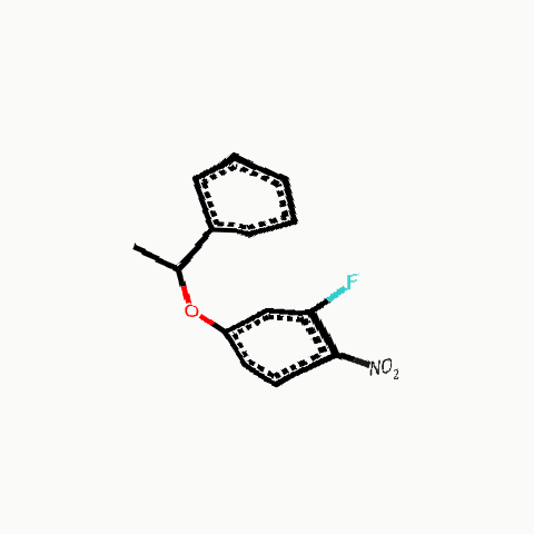 CC(Oc1ccc([N+](=O)[O-])c(F)c1)c1ccccc1